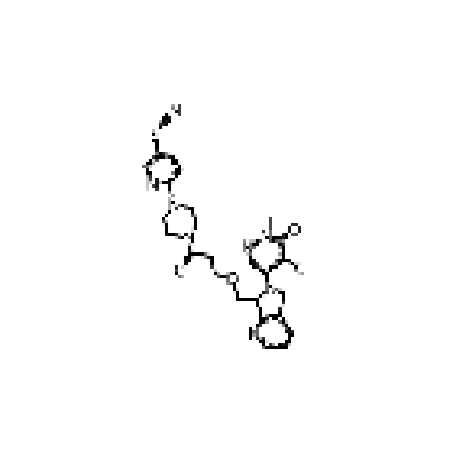 N#CSc1ccc(N2CCN(C(=O)CCOCC3c4ncccc4CN3c3cn[nH]c(=O)c3Cl)CC2)nc1